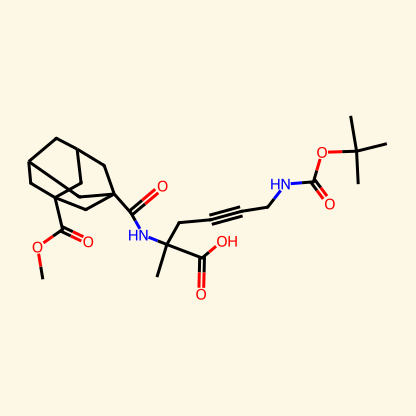 COC(=O)C12CC3CC(CC(C(=O)NC(C)(CC#CCNC(=O)OC(C)(C)C)C(=O)O)(C3)C1)C2